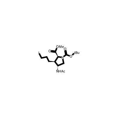 COC(=O)[C@@H]1[C@H](CCCI)[C@@H](NC(C)=O)CN1C(=O)OC(C)(C)C